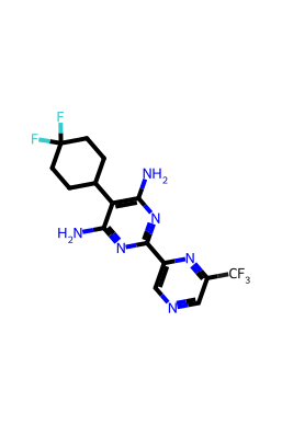 Nc1nc(-c2cncc(C(F)(F)F)n2)nc(N)c1C1CCC(F)(F)CC1